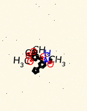 COc1cc(C(=O)c2cc(C3=CC=CC3)ccc2NC(C)=O)cc(OC)c1OC